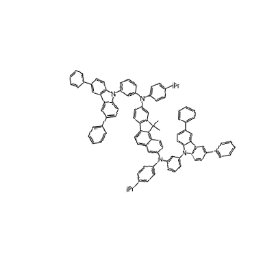 CC(C)c1ccc(N(c2cccc(-n3c4ccc(-c5ccccc5)cc4c4cc(-c5ccccc5)ccc43)c2)c2ccc3c(c2)C(C)(C)c2c-3ccc3cc(N(c4ccc(C(C)C)cc4)c4cccc(-n5c6ccc(-c7ccccc7)cc6c6cc(-c7ccccc7)ccc65)c4)ccc23)cc1